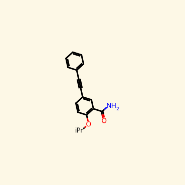 CC(C)Oc1ccc(C#Cc2ccccc2)cc1C(N)=O